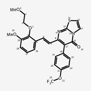 COCCOc1c(C=Cc2nc3sccn3c(=O)c2-c2ccc(OC(F)(F)F)cc2)cccc1OC